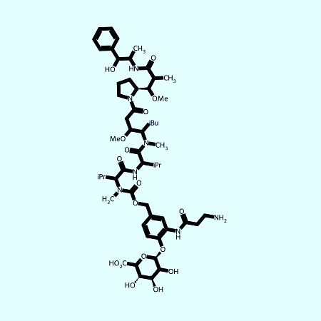 CCC(C)C(C(CC(=O)N1CCC[C@H]1C(OC)C(C)C(=O)NC(C)C(O)c1ccccc1)OC)N(C)C(=O)C(NC(=O)C(C(C)C)N(C)C(=O)OCc1ccc(O[C@@H]2OC(C(=O)O)[C@@H](O)[C@H](O)C2O)c(NC(=O)CCN)c1)C(C)C